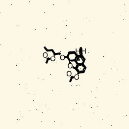 CCCC(COC1C=C[C@H]2[C@H]3Cc4ccc(OC(C)=O)c5c4[C@@]2(CCN3C)C1O5)OC(C)=O